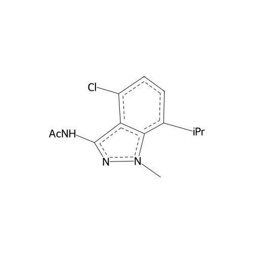 CC(=O)Nc1nn(C)c2c(C(C)C)ccc(Cl)c12